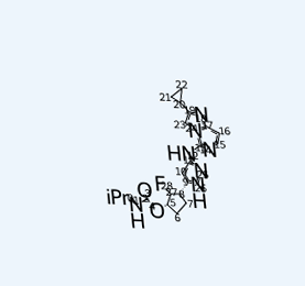 CC(C)NC(=O)O[C@H]1CC[C@@H](c2cc(Nc3nccc4nc(C5CC5)cn34)n[nH]2)[C@@H]1F